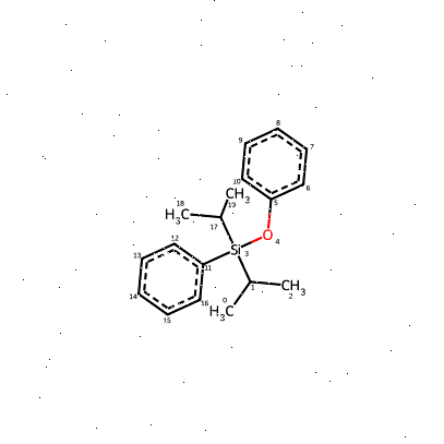 CC(C)[Si](Oc1ccccc1)(c1ccccc1)C(C)C